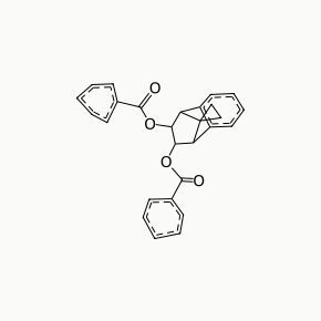 O=C(OC1C(OC(=O)c2ccccc2)C2c3ccccc3C1C21CC1)c1ccccc1